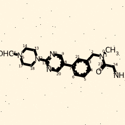 CN(Cc1cccc(-c2cnc(N3CCN(C=O)CC3)nc2)c1)C(=O)CN